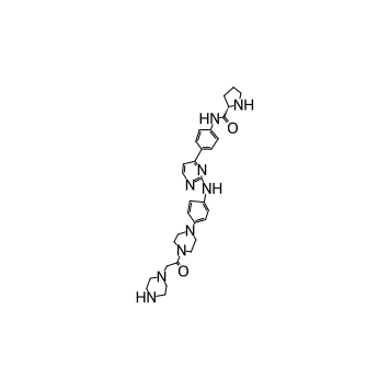 O=C(Nc1ccc(-c2ccnc(Nc3ccc(N4CCN(C(=O)CN5CCNCC5)CC4)cc3)n2)cc1)[C@H]1CCCN1